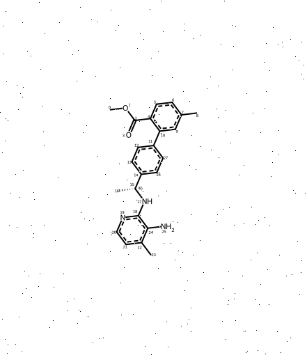 COC(=O)c1ccc(C)cc1-c1ccc([C@@H](C)Nc2nccc(C)c2N)cc1